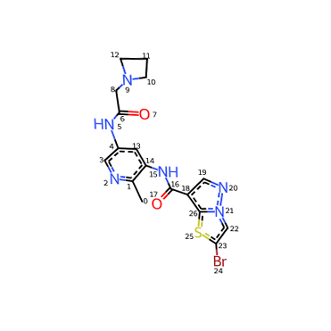 Cc1ncc(NC(=O)CN2CCC2)cc1NC(=O)c1cnn2cc(Br)sc12